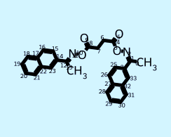 CC(=NOC(=O)CCC(=O)ON=C(C)c1ccc2ccccc2c1)c1ccc2ccccc2c1